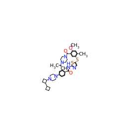 C=C(C)N1CCN(C(=O)c2cc(Sc3cnc(NC(=O)c4ccc(N5CCN(C6CCC6C6CCC6)CC5)cc4)s3)c(C)cc2OC)CC1